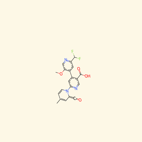 COc1cnc(C(F)F)cc1-c1cc(N2C=CC(C)=CC2=C=O)ncc1C(=O)O